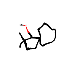 CCOC1C(C)(C)CCC12CCCCC2